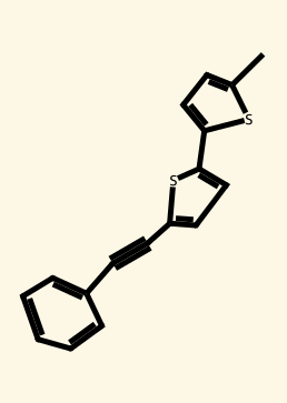 Cc1ccc(-c2ccc(C#Cc3ccccc3)s2)s1